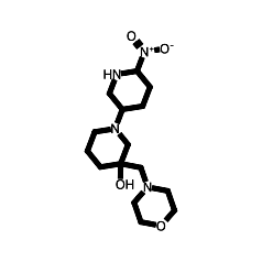 O=[N+]([O-])C1CCC(N2CCCC(O)(CN3CCOCC3)C2)CN1